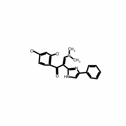 CN(C)/C=C(/C(=O)c1ccc(Cl)cc1Cl)c1nc(-c2ccccc2)c[nH]1